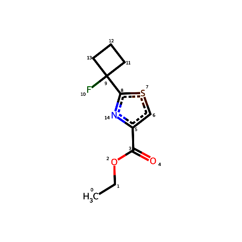 CCOC(=O)c1csc(C2(F)CCC2)n1